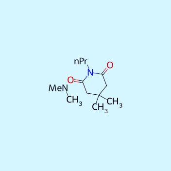 CCCN1C(=O)CC(C)(C)CC1=O.CNC